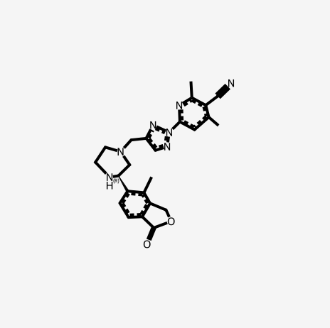 Cc1cc(-n2ncc(CN3CCN[C@H](c4ccc5c(c4C)COC5=O)C3)n2)nc(C)c1C#N